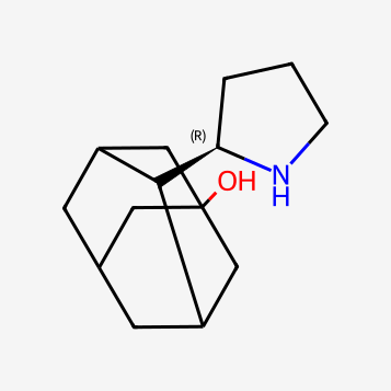 OC12CC3CC(C1)C([C@H]1CCCN1)C(C3)C2